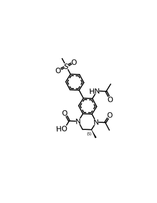 CC(=O)Nc1cc2c(cc1-c1ccc(S(C)(=O)=O)cc1)N(C(=O)O)C[C@H](C)N2C(C)=O